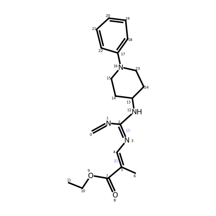 C=N/C(=N\C=C(/C)C(=O)OCC)NC1CCN(c2ccccc2)CC1